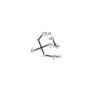 CCCCCOC(CC)(CC(=O)O)C(=O)O.CCCO